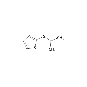 CC(C)Sc1cccs1